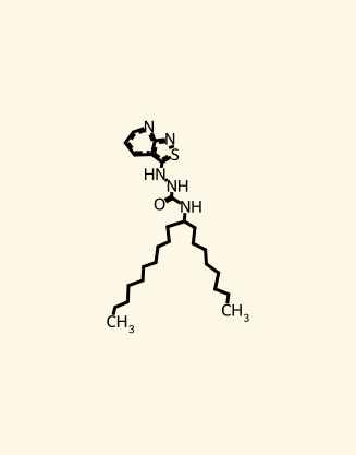 CCCCCCCCCCC(CCCCCCCC)NC(=O)NNc1snc2ncccc12